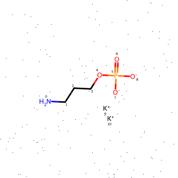 NCCCOP(=O)([O-])[O-].[K+].[K+]